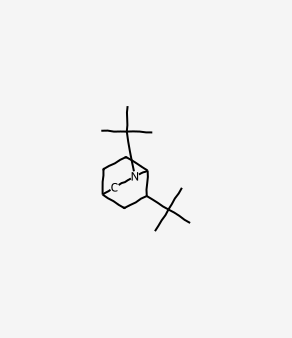 CC(C)(C)C1CC2CCC1N(C(C)(C)C)C2